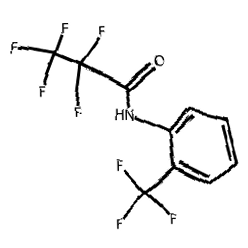 O=C(Nc1ccccc1C(F)(F)F)C(F)(F)C(F)(F)F